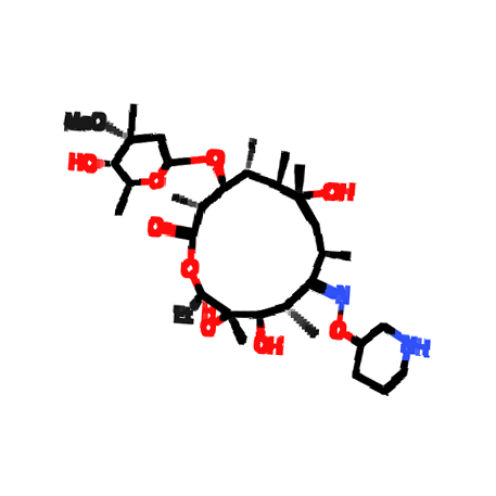 CC[C@H]1OC(=O)[C@H](C)[C@@H](OC2C[C@@](C)(OC)[C@@H](O)[C@H](C)O2)[C@H](C)[C@@H](C)[C@](C)(O)C[C@@H](C)C(=NOC2CCCNC2)[C@H](C)[C@@H](O)[C@]1(C)O